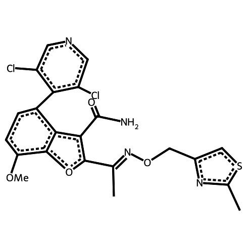 COc1ccc(-c2c(Cl)cncc2Cl)c2c(C(N)=O)c(C(C)=NOCc3csc(C)n3)oc12